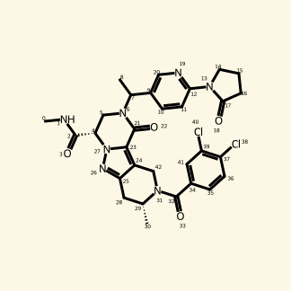 CNC(=O)[C@@H]1CN(C(C)c2ccc(N3CCCC3=O)nc2)C(=O)c2c3c(nn21)C[C@@H](C)N(C(=O)c1ccc(Cl)c(Cl)c1)C3